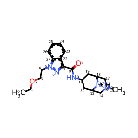 CCOCCn1nc(C(=O)NC2CC3CN(C)CC(C2)N3C)c2ccccc21